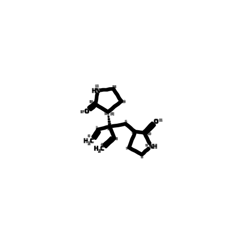 C=CC(C=C)(CC1CCNC1=O)[C@H]1CCNC1=O